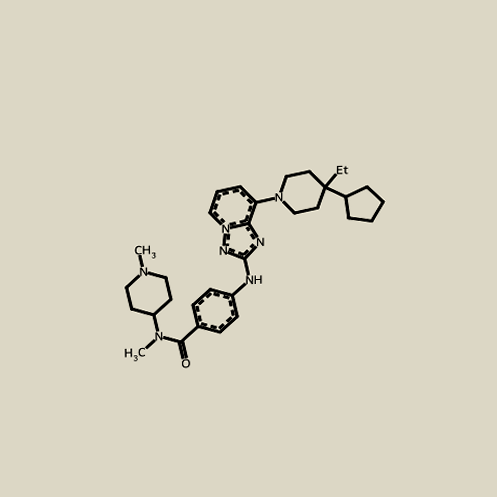 CCC1(C2CCCC2)CCN(c2cccn3nc(Nc4ccc(C(=O)N(C)C5CCN(C)CC5)cc4)nc23)CC1